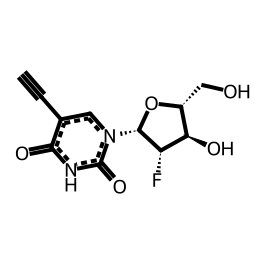 C#Cc1cn([C@@H]2O[C@H](CO)[C@@H](O)[C@@H]2F)c(=O)[nH]c1=O